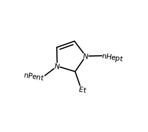 CCCCCCCN1C=CN(CCCCC)C1CC